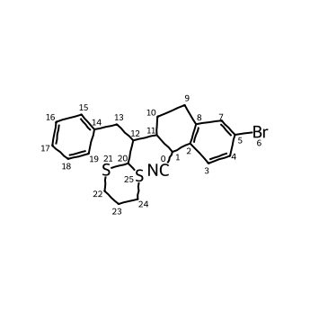 N#CC1c2ccc(Br)cc2CCC1C(Cc1ccccc1)C1SCCCS1